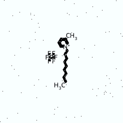 CCCCCCCCCC[n+]1cccc(C)c1.F[P-](F)(F)(F)(F)F